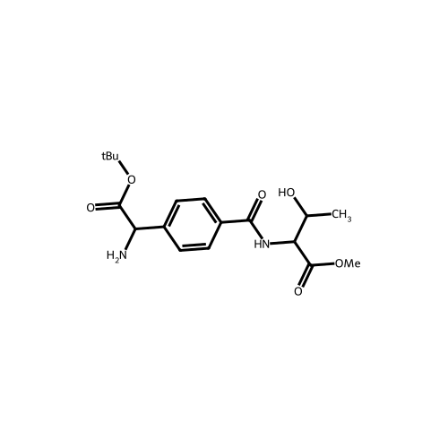 COC(=O)C(NC(=O)c1ccc(C(N)C(=O)OC(C)(C)C)cc1)C(C)O